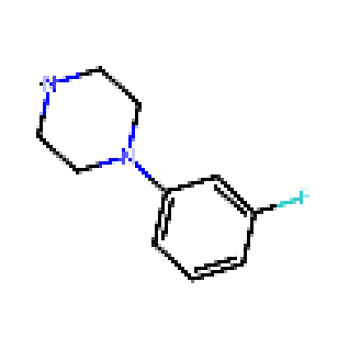 Fc1cccc(N2CC[N]CC2)c1